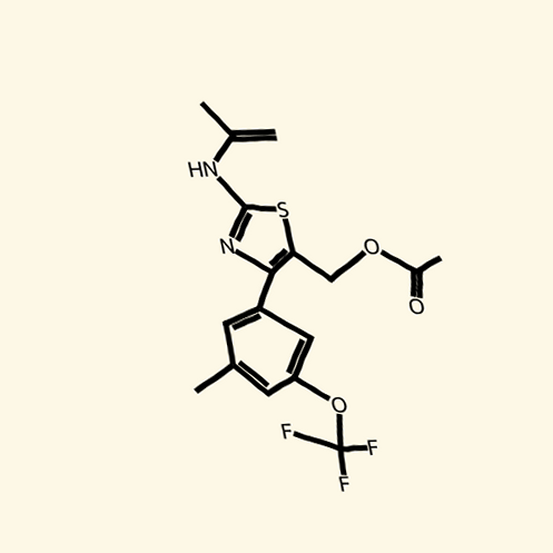 C=C(C)Nc1nc(-c2cc(C)cc(OC(F)(F)F)c2)c(COC(C)=O)s1